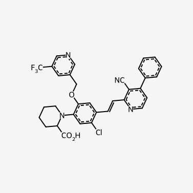 N#Cc1c(-c2ccccc2)ccnc1C=Cc1cc(OCc2cncc(C(F)(F)F)c2)c(N2CCCCC2C(=O)O)cc1Cl